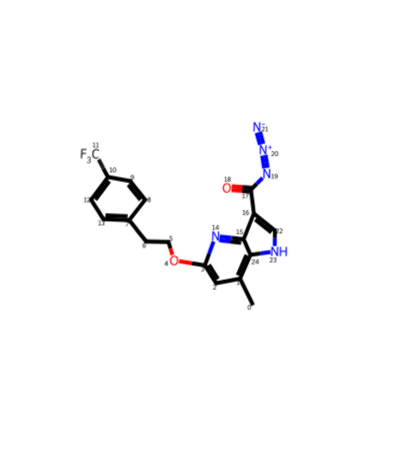 Cc1cc(OCCc2ccc(C(F)(F)F)cc2)nc2c(C(=O)N=[N+]=[N-])c[nH]c12